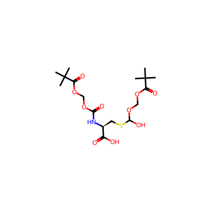 CC(C)(C)C(=O)OCOC(=O)N[C@@H](CSC(O)OCOC(=O)C(C)(C)C)C(=O)O